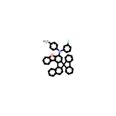 Cc1ccc(N(c2cccc(F)c2)c2cc3c(c4c2oc2ccccc24)-c2c(ccc4ccccc24)C32c3ccccc3-c3ccccc32)cc1